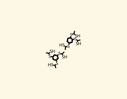 CC(S)Sc1cc(SC(C)S)cc(SC(C)S)c1.CC(S)Sc1ccc(SC(C)S)c(SC(C)S)c1